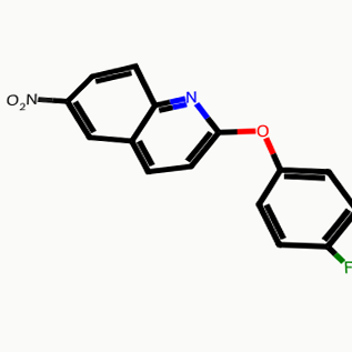 O=[N+]([O-])c1ccc2nc(Oc3ccc(F)cc3)ccc2c1